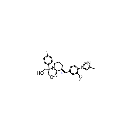 COc1cc(/C=C2\CCCN3C2=NOCC3(CO)c2ccc(C)cc2)ccc1-n1cnc(C)c1